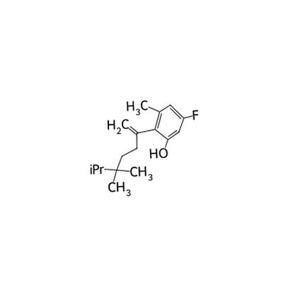 C=C(CCC(C)(C)C(C)C)c1c(C)cc(F)cc1O